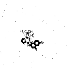 CC(C)(C)OC(=O)N1CCC[C@H]1c1nc2cc(I)c3cc(Br)ccc3c2[nH]1